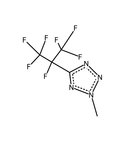 Cn1nnc(C(F)(C(F)(F)F)C(F)(F)F)n1